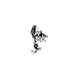 CC1C(NC(=O)/C(=N\OCCOc2ccc(C(=N)N)cc2)c2nsc(N)n2)C(=O)N1O